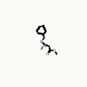 COC(=O)C[C@@H](C)OCc1ccccc1